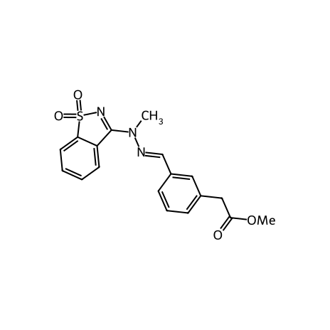 COC(=O)Cc1cccc(/C=N/N(C)C2=NS(=O)(=O)c3ccccc32)c1